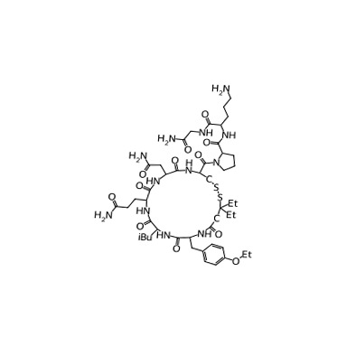 CCOc1ccc(CC2NC(=O)CC(CC)(CC)SSCC(C(=O)N3CCCC3C(=O)NC(CCCN)C(=O)NCC(N)=O)NC(=O)C(CC(N)=O)NC(=O)C(CCC(N)=O)NC(=O)C(C(C)CC)NC2=O)cc1